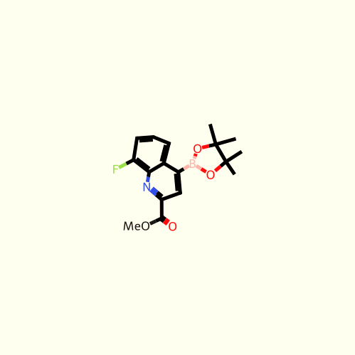 COC(=O)c1cc(B2OC(C)(C)C(C)(C)O2)c2cccc(F)c2n1